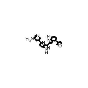 Nc1cncc(-c2ccc3[nH]nc(-c4cc5c(-c6ccoc6)cccc5[nH]4)c3n2)c1